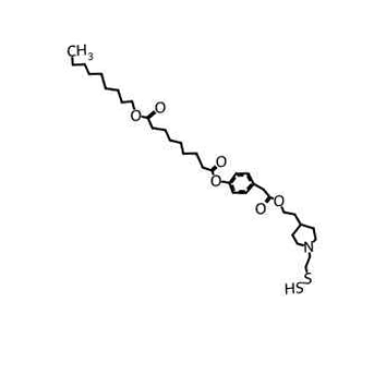 CCCCCCCCCOC(=O)CCCCCCCC(=O)Oc1ccc(CC(=O)OCCC2CCN(CCSS)CC2)cc1